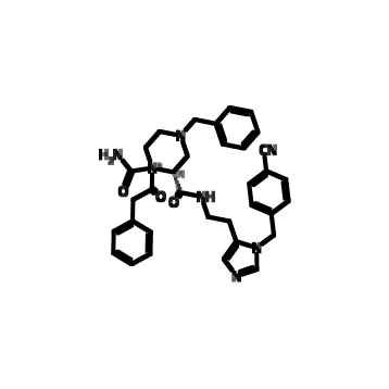 N#Cc1ccc(Cn2cncc2CCNC(=O)[C@H]2CN(Cc3ccccc3)CC[N+]2(C(N)=O)C(=O)Cc2ccccc2)cc1